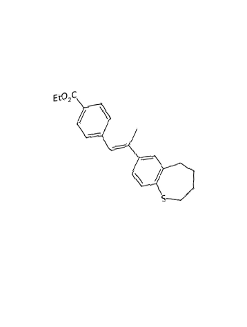 CCOC(=O)c1ccc(C=C(C)c2ccc3c(c2)CCCCS3)cc1